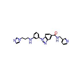 O=C(NCc1cccnc1)c1ccc2c(c1)ncn2-c1cccc(NCCCn2ccnc2)c1